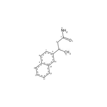 CC(CC(N)=O)c1ccc2ccccc2c1